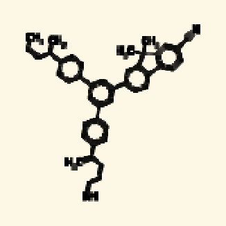 C=C(/C=C\C)c1ccc(-c2cc(-c3ccc(C(=C)/C=C\C=N)cc3)cc(-c3ccc4c(c3)C(C)(C)c3cc(C#N)ccc3-4)c2)cc1